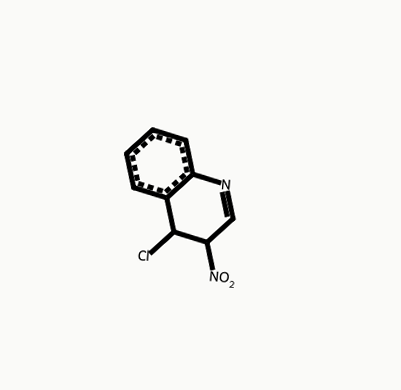 O=[N+]([O-])C1C=Nc2ccccc2C1Cl